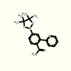 CC1(C)OB(c2ccc(C(N)=O)c(-c3ccccn3)c2)OC1(C)C